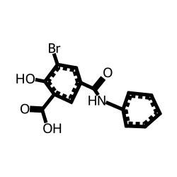 O=C(Nc1ccccc1)c1cc(Br)c(O)c(C(=O)O)c1